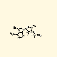 C=C[C@H]1O[C@@H](n2cc(Br)c3c(N)ncnc32)[C@H](F)[C@@H]1O[Si](C)(C)C(C)(C)C